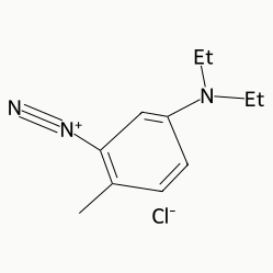 CCN(CC)c1ccc(C)c([N+]#N)c1.[Cl-]